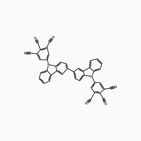 N#Cc1cc(-n2c3ccccc3c3cc(-c4ccc5c(c4)c4ccccc4n5-c4cc(C#N)c(C#N)c(C#N)c4)ccc32)cc(C#N)c1C#N